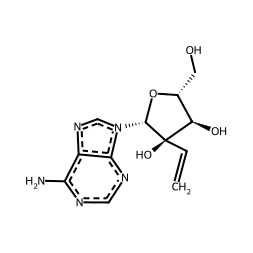 C=C[C@@]1(O)[C@H](O)[C@@H](CO)O[C@H]1n1cnc2c(N)ncnc21